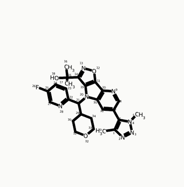 Cc1nnn(C)c1-c1cnc2c3onc(C(C)(C)O)c3n(C(c3ccc(F)cn3)C3CCOCC3)c2c1